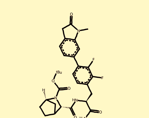 CN1C(=O)Cc2ccc(-c3ccc(C[C@H](NC(=O)[C@@H]4C5CC[C@H](C5)N4C(=O)OC(C)(C)C)C(N)=O)c(F)c3F)cc21